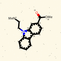 CNCCn1c2ccccc2c2ccc(C(=O)OC)cc21